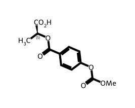 COC(=O)Oc1ccc(C(=O)O[C@@H](C)C(=O)O)cc1